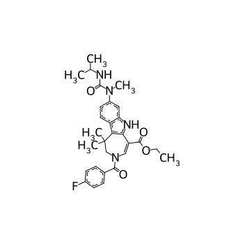 CCOC(=O)C1=CN(C(=O)c2ccc(F)cc2)CC(C)(C)c2c1[nH]c1cc(N(C)C(=O)NC(C)C)ccc21